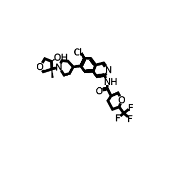 C[C@@]1(N2CCC(c3cc4cc(NC(=O)C5CCC(C(F)(F)F)OC5)ncc4cc3Cl)CC2)COC[C@@H]1O